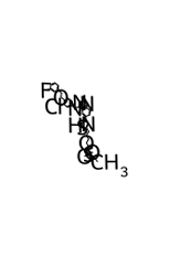 CCCS(=O)(=O)CCOCCCc1nc(-c2ccc3ncnc(Nc4ccc(OCc5cccc(F)c5)c(Cl)c4)c3c2)cs1